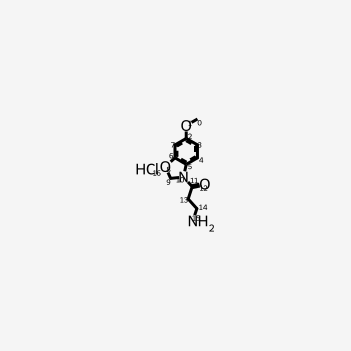 COc1ccc2c(c1)OCN2C(=O)CCN.Cl